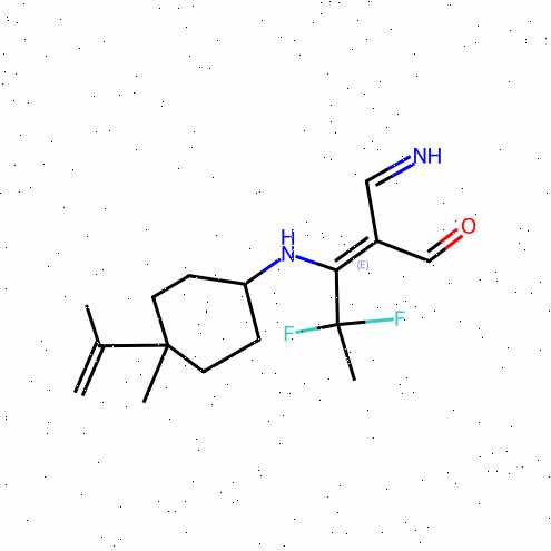 C=C(C)C1(C)CCC(N/C(=C(\C=N)C=O)C(C)(F)F)CC1